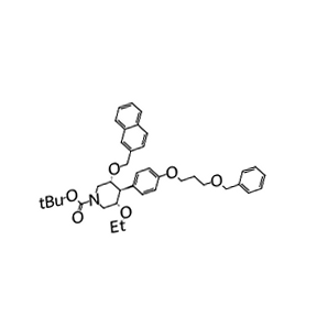 CCO[C@@H]1CN(C(=O)OC(C)(C)C)C[C@H](OCc2ccc3ccccc3c2)[C@H]1c1ccc(OCCCOCc2ccccc2)cc1